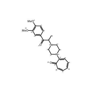 COc1ccc(C(=O)C(C)N2CCN(c3cccccc3=O)CC2)cc1OC